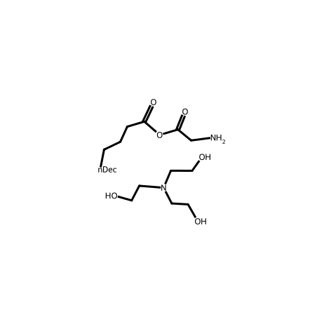 CCCCCCCCCCCCCC(=O)OC(=O)CN.OCCN(CCO)CCO